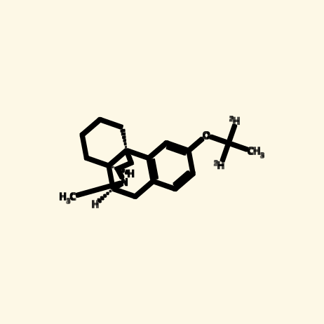 [2H]C([2H])(C)Oc1ccc2c(c1)[C@]13CCCC[C@@H]1[C@H](C2)N(C)CC3